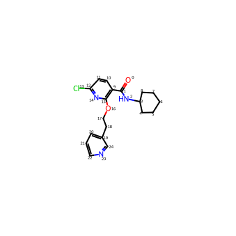 O=C(NC1CCCCC1)c1ccc(Cl)nc1OCCc1cccnc1